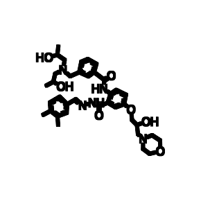 Cc1ccc(C=NNC(=O)c2cc(OCC(O)CN3CCOCC3)ccc2NC(=O)c2cccc(CN(CC(C)O)CC(C)O)c2)cc1C